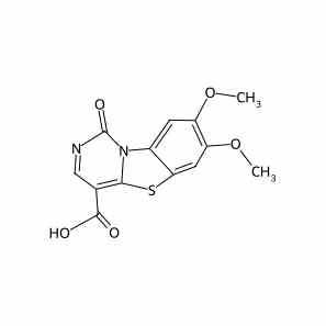 COc1cc2sc3c(C(=O)O)cnc(=O)n3c2cc1OC